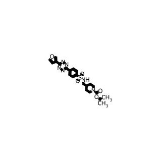 CC(C)OC(=O)N1CCC(CNS(=O)(=O)c2ccc(-c3nnc(-c4ccoc4)nn3)cc2)CC1